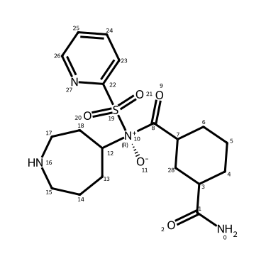 NC(=O)C1CCCC(C(=O)[N@@+]([O-])(C2CCCNCC2)S(=O)(=O)c2ccccn2)C1